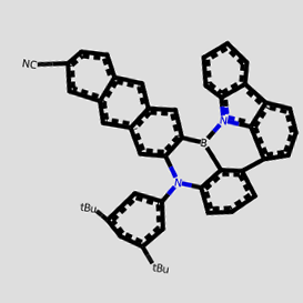 CC(C)(C)c1cc(N2c3cc4cc5cc(C#N)ccc5cc4cc3B3c4c(cccc42)-c2cccc4c5ccccc5n3c24)cc(C(C)(C)C)c1